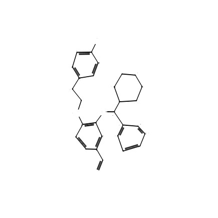 O=Cc1ccc(OCCc2ccc(F)cc2)c(OC(c2ccccc2)C2CCCCC2)c1